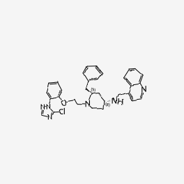 Clc1ncnn1-c1ccccc1OCCN1CC[C@@H](NCc2ccnc3ccccc23)C[C@@H]1Cc1ccccc1